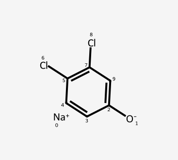 [Na+].[O-]c1ccc(Cl)c(Cl)c1